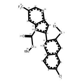 CCSc1cc2cc(Cl)ccc2nc1-c1cc2ncc(C(F)(F)F)cc2n1C(=O)OC(C)(C)C